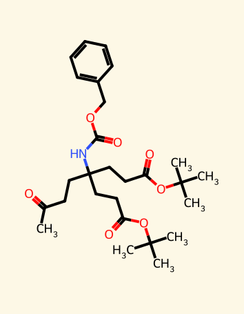 CC(=O)CCC(CCC(=O)OC(C)(C)C)(CCC(=O)OC(C)(C)C)NC(=O)OCc1ccccc1